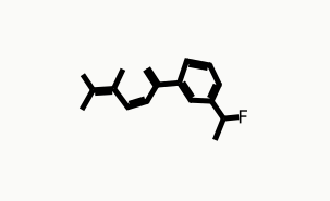 C=C(/C=C\C(C)=C(C)C)c1cccc(C(C)F)c1